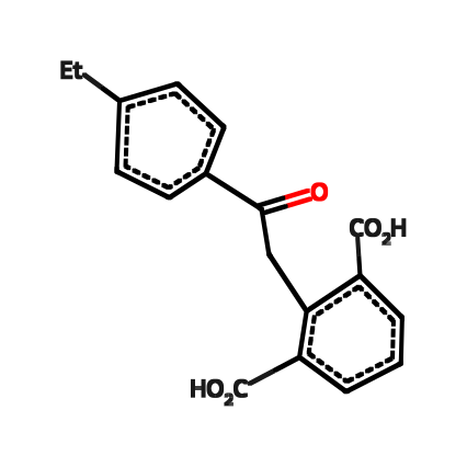 CCc1ccc(C(=O)Cc2c(C(=O)O)cccc2C(=O)O)cc1